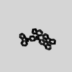 c1ccc2c(c1)-c1ccccc1C21c2ccccc2-c2ccc(N(c3ccc(-n4c5ccccc5c5ccccc54)cc3)c3cccc4ccccc34)cc21